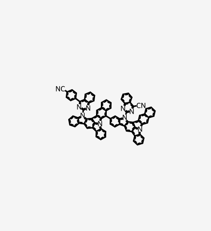 N#Cc1ccc(-c2nc(-n3c4ccccc4c4cc5c6ccccc6n6c7c(-c8ccc9c%10cc%11c%12ccccc%12n%12c%13cc%14ccccc%14cc%13c(c%10n(-c%10nc(C#N)c%13ccccc%13n%10)c9c8)c%11%12)c8ccccc8cc7c(c43)c56)nc3ccccc23)cc1